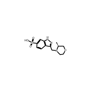 C[C@H]1COCCN1Cc1n[nH]c2cc(S(=O)(=O)O)ccc12